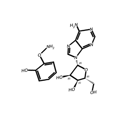 NOc1ccccc1O.Nc1ncnc2c1ncn2[C@@H]1O[C@H](CO)[C@@H](O)[C@H]1O